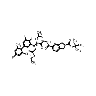 CCOC(=O)C[C@H](NC(=O)[C@H](CC(C)C)NC(=O)c1ccc2c(n1)CN(C(=O)OC(C)(C)C)C2)c1cc(-c2c(C)cc(F)cc2C)cc(F)c1F